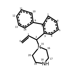 C=CC(c1ccccc1-c1ccccc1)N1CCNCC1